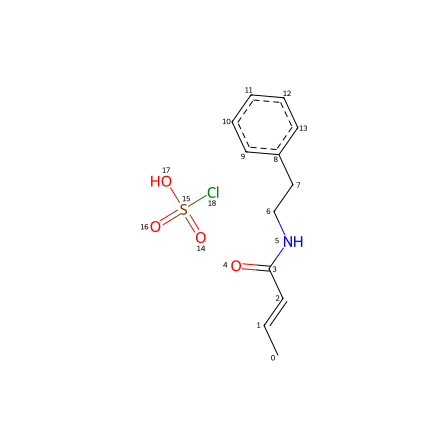 C/C=C/C(=O)NCCc1ccccc1.O=S(=O)(O)Cl